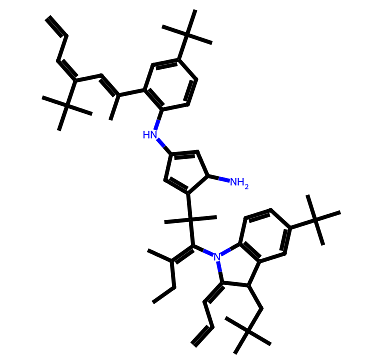 C=C/C=C1\C(CC(C)(C)C)c2cc(C(C)(C)C)ccc2N1/C(=C(/C)CC)C(C)(C)C1=CC(Nc2ccc(C(C)(C)C)cc2/C(C)=C/C(=C\C=C)C(C)(C)C)=CC1N